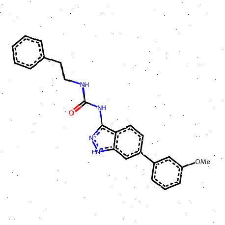 COc1cccc(-c2ccc3c(NC(=O)NCCc4ccccc4)n[nH]c3c2)c1